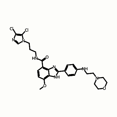 COc1ccc(C(=O)NCCCn2cnc(Cl)c2Cl)c2nc(-c3ccc(NCCN4CCOCC4)cc3)[nH]c12